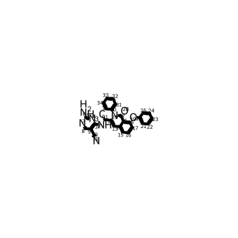 C[C@H](Nc1nc(N)ncc1C#N)c1cc2cccc(Oc3ccccc3)c2c(=O)n1-c1ccccc1